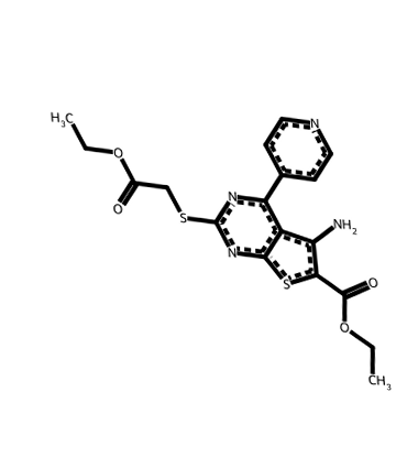 CCOC(=O)CSc1nc(-c2ccncc2)c2c(N)c(C(=O)OCC)sc2n1